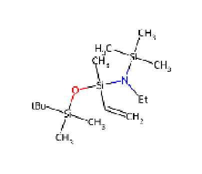 C=C[Si](C)(O[Si](C)(C)C(C)(C)C)N(CC)[Si](C)(C)C